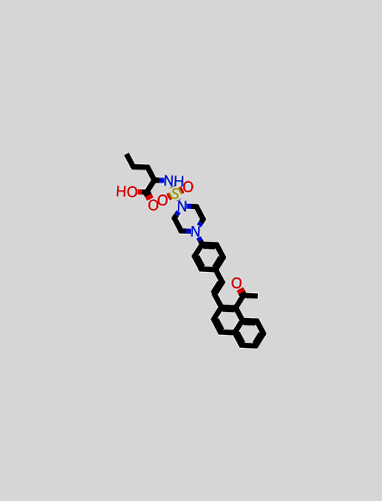 CCCC(NS(=O)(=O)N1CCN(c2ccc(C=Cc3ccc4ccccc4c3C(C)=O)cc2)CC1)C(=O)O